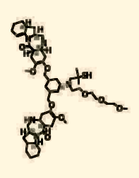 COCCOCCOCCN(CC(C)(C)S)[C@@H]1C=C(COC2=C(OC)C[C@H]3C(=O)N4[C@H](CNC3C2)CC2CCCC[C@@H]24)CC(COC2=C(OC)C[C@@H]3C(=O)N4C5=CCCC[C@@H]5C[C@H]4C=N[C@@H]3C2)C1